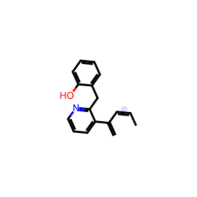 C=C(/C=C\C)c1cccnc1Cc1ccccc1O